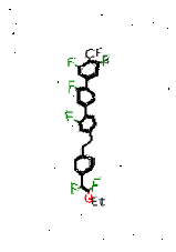 CCO/C(F)=C(\F)c1ccc(CCc2ccc(-c3ccc(-c4cc(F)c(C(F)(F)F)c(F)c4)c(F)c3)c(F)c2)cc1